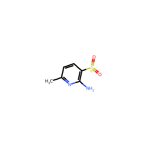 Cc1ccc([SH](=O)=O)c(N)n1